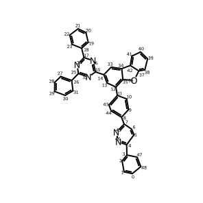 c1ccc(-c2ccc(-c3ccc(-c4cc(-c5nc(-c6ccccc6)nc(-c6ccccc6)n5)cc5c4oc4ccccc45)cc3)nn2)cc1